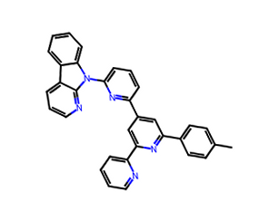 Cc1ccc(-c2cc(-c3cccc(-n4c5ccccc5c5cccnc54)n3)cc(-c3ccccn3)n2)cc1